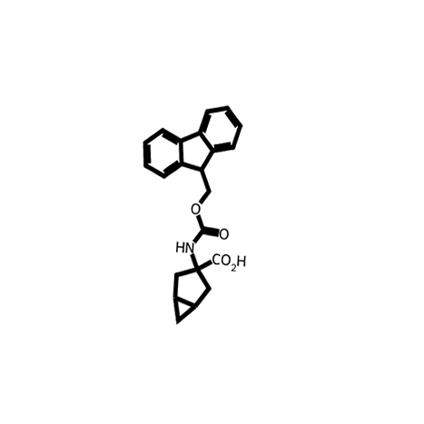 O=C(NC1(C(=O)O)CC2CC2C1)OCC1c2ccccc2-c2ccccc21